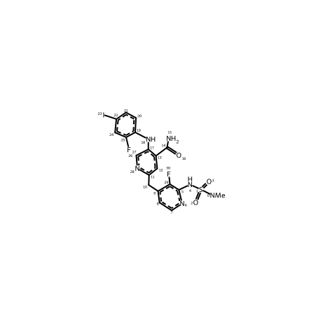 CNS(=O)(=O)Nc1nccc(Cc2cc(C(N)=O)c(Nc3ccc(I)cc3F)cn2)c1F